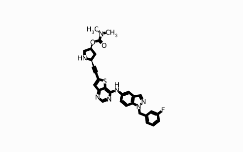 CN(C)C(=O)O[C@@H]1CN[C@H](C#Cc2cc3ncnc(Nc4ccc5c(cnn5Cc5cccc(F)c5)c4)c3s2)C1